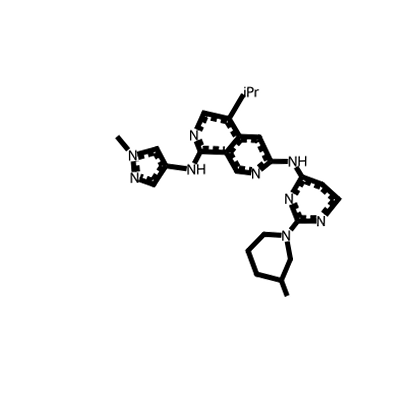 CC1CCCN(c2nccc(Nc3cc4c(C(C)C)cnc(Nc5cnn(C)c5)c4cn3)n2)C1